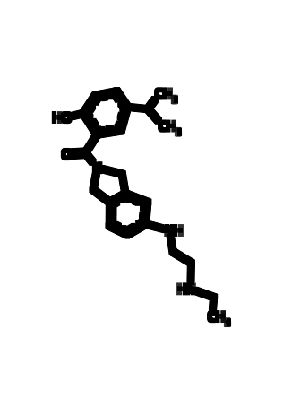 CCNCCNc1ccc2c(c1)CN(C(=O)c1cc(C(C)C)ccc1O)C2